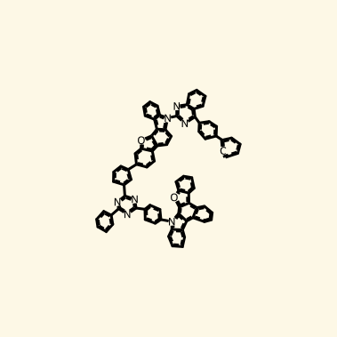 c1ccc(-c2ccc(-c3nc(-n4c5ccccc5c5c6oc7cc(-c8cccc(-c9nc(-c%10ccccc%10)nc(-c%10ccc(-n%11c%12ccccc%12c%12c%13ccccc%13c%13c%14ccccc%14oc%13c%12%11)cc%10)n9)c8)ccc7c6ccc54)nc4ccccc34)cc2)cc1